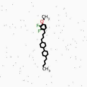 CCCCCC1CCC(C2CCC(CCCCc3ccc(OCC)c(F)c3F)CC2)CC1